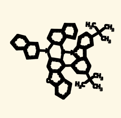 CC(C)(C)c1ccc2c(c1)c1cc(C(C)(C)C)cc3c1n2B1c2c(cc4oc5ccccc5c4c2-3)N(c2ccc3ccccc3c2)c2ccc3ccccc3c21